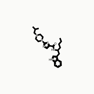 CCCCC(Cc1c[nH]c2ccccc12)NC(=O)c1cnc(N2CCN(CC(C)C)CC2)s1